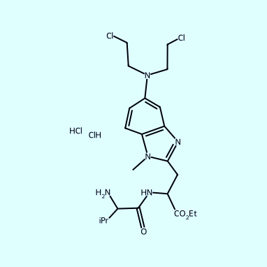 CCOC(=O)C(Cc1nc2cc(N(CCCl)CCCl)ccc2n1C)NC(=O)C(N)C(C)C.Cl.Cl